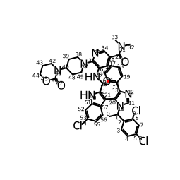 CC(c1ccc(Cl)cc1Cl)n1cnc(-c2ccccc2)c1-c1c(C(=O)Nc2cc(C(=O)N(C)C)cnc2N2CCC(N3CCCOC3=O)CC2)[nH]c2cc(Cl)ccc12